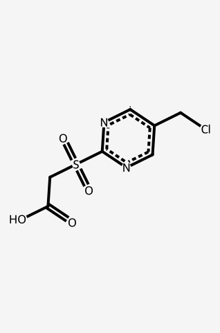 O=C(O)CS(=O)(=O)c1n[c]c(CCl)cn1